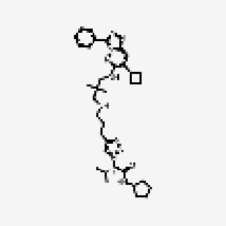 CC(C)[C@@H](C(=O)NC1CCCC1)n1cc(CCCNCC(C)(C)CNc2nn3c(-c4ccccc4)nnc3cc2C2CCC2)nn1